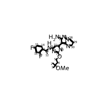 COC(C)(C)CCOc1nc(N[C@@H](C)c2ccc(F)cc2F)cc(-c2c(N)nn3cccnc23)n1